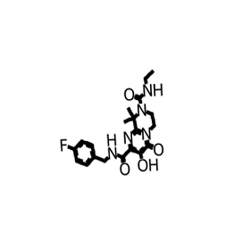 CCNC(=O)N1CCn2c(nc(C(=O)NCc3ccc(F)cc3)c(O)c2=O)C1(C)C